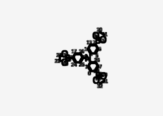 c1cc(N(c2ccc(B3OCCO3)cc2)c2ccc(B3OCCO3)cc2)ccc1B1OCCO1